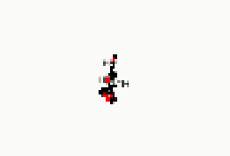 COCCNCCc1cccc(Nc2ncc3c(n2)-c2ccccc2[C@H](c2ccccc2F)C3)c1.Cl